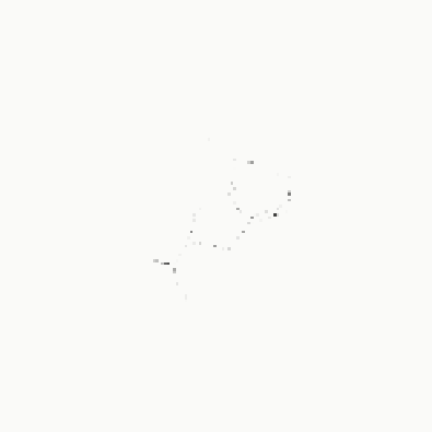 CC(S)N1Cc2cccc(C(F)(F)F)c2C1